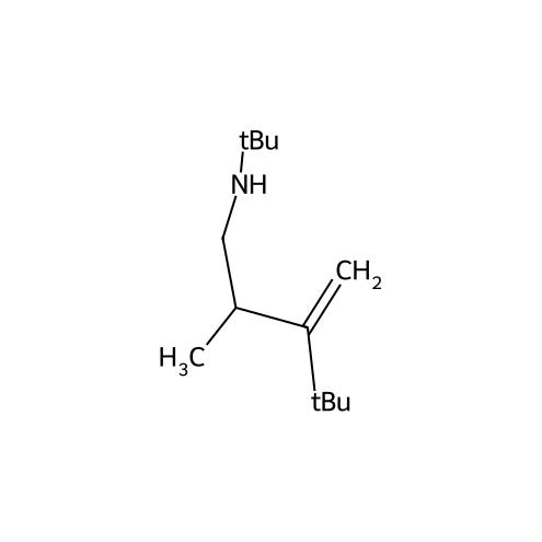 C=C(C(C)CNC(C)(C)C)C(C)(C)C